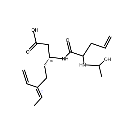 C=CCC(NC(C)O)C(=O)N[C@H](CC/C(C=C)=C/C)CC(=O)O